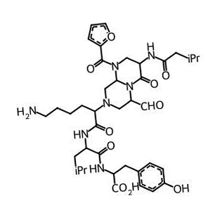 CC(C)CC(=O)NC1CN(C(=O)c2ccco2)C2CN(C(CCCCN)C(=O)NC(CC(C)C)C(=O)NC(Cc3ccc(O)cc3)C(=O)O)CC(C=O)N2C1=O